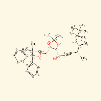 C[C@H](C#CC(O)[C@H]1OC(C)(C)O[C@H]1CCO[Si](c1ccccc1)(c1ccccc1)C(C)(C)C)[C@H](C)O[Si](C)(C)C(C)(C)C